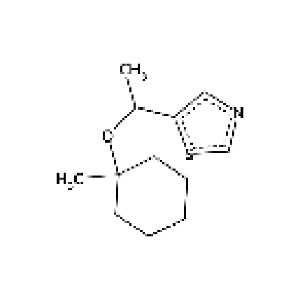 CC(OC1(C)CCCCC1)c1cncs1